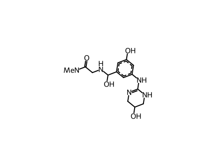 CNC(=O)CNC(O)c1cc(O)cc(NC2=NCC(O)CN2)c1